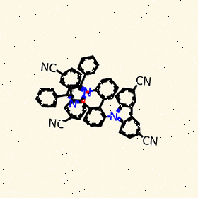 N#Cc1ccc2c(c1)c1cc(C#N)ccc1n2-c1ccccc1-c1c(-c2nc(-c3ccccc3)cc(-c3ccccc3)n2)cccc1-n1c2ccc(C#N)cc2c2cc(C#N)ccc21